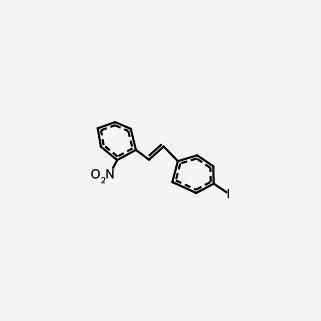 O=[N+]([O-])c1ccccc1C=Cc1ccc(I)cc1